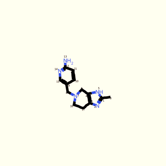 Cc1nc2c([nH]1)CN(Cc1ccc(N)nc1)CC2